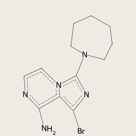 Nc1nccn2c(N3CCCCCC3)nc(Br)c12